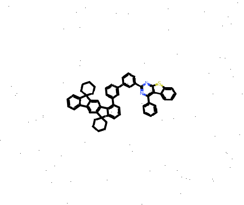 c1ccc(-c2nc(-c3cccc(-c4cccc(-c5cccc6c5-c5cc7c(cc5C65CCCCC5)-c5ccccc5C75CCCCC5)c4)c3)nc3sc4ccccc4c23)cc1